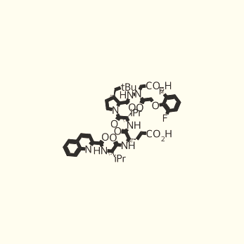 CC(C)[C@H](NC(=O)c1ccc2ccccc2n1)C(=O)N[C@@H](CCC(=O)O)C(=O)N[C@H](C(=O)N1CC[C@@H](CC(C)(C)C)C1C(=O)NN(CC(=O)O)C(=O)COc1c(F)cccc1F)C(C)C